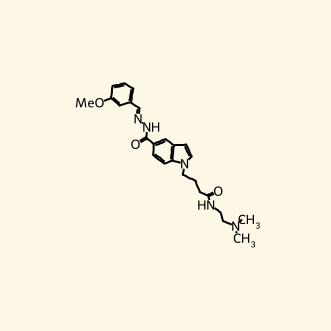 COc1cccc(C=NNC(=O)c2ccc3c(ccn3CCCC(=O)NCCN(C)C)c2)c1